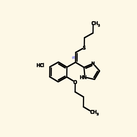 CCCCOc1ccccc1/C(=C/SCCC)c1ncc[nH]1.Cl